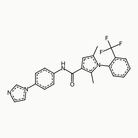 Cc1cc(C(=O)Nc2ccc(-n3ccnc3)cc2)c(C)n1-c1ccccc1C(F)(F)F